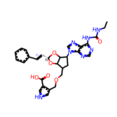 CCNC(=O)Nc1ncnc2c1ncn2C1CC(COCc2c[nH]cc2C(=O)O)C2O[C@H](/C=C/c3ccccc3)OC21